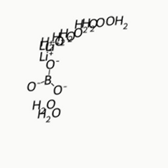 O.O.O.O.O.O.O.O.[Li+].[Li+].[Li+].[O-]B([O-])[O-]